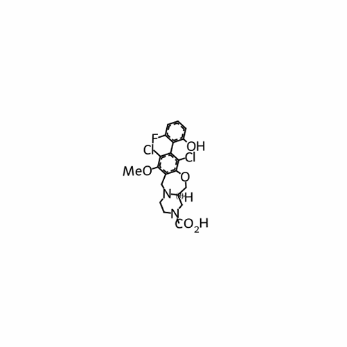 COc1c(Cl)c(-c2c(O)cccc2F)c(Cl)c2c1CN1CCN(C(=O)O)C[C@@H]1CO2